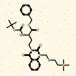 CC(C)(C)OC(=O)NC(CCn1c(=O)c2ccccc2n(COCC[Si](C)(C)C)c1=O)C(=O)OCc1ccccc1